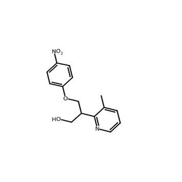 Cc1cccnc1C(CO)COc1ccc([N+](=O)[O-])cc1